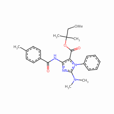 COCC(C)(C)OC(=O)c1c(NC(=O)c2ccc(C)cc2)nc(N(C)C)n1-c1ccccc1